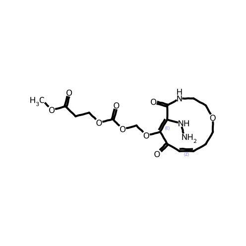 COC(=O)CCOC(=O)OCO/C1=C(/NN)C(=O)NCCOCC/C=C\C1=O